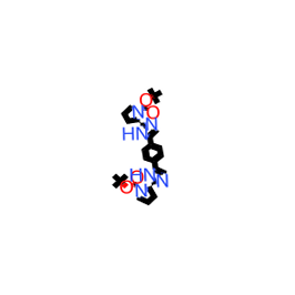 CC(C)(C)OC(=O)N1CCC[C@H]1c1ncc(-c2ccc(-c3cnc([C@@H]4CCCN4C(=O)OC(C)(C)C)[nH]3)cc2)[nH]1